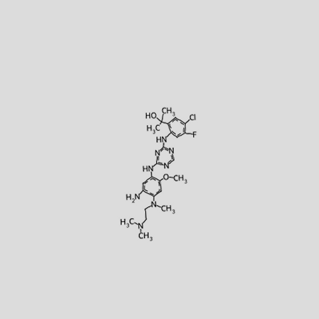 COc1cc(N(C)CCN(C)C)c(N)cc1Nc1ncnc(Nc2cc(F)c(Cl)cc2C(C)(C)O)n1